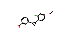 CCOc1ccc(C2CC2c2cccc(C(=O)O)c2)c(Cl)c1